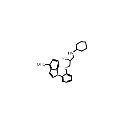 O=Cc1cccc2c1ccn2-c1ccccc1OCC(O)CNC1CCCCC1